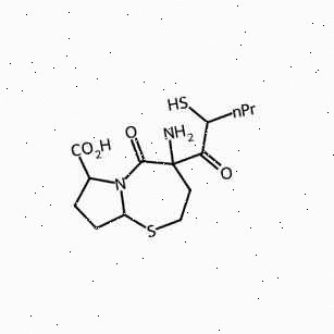 CCCC(S)C(=O)C1(N)CCSC2CCC(C(=O)O)N2C1=O